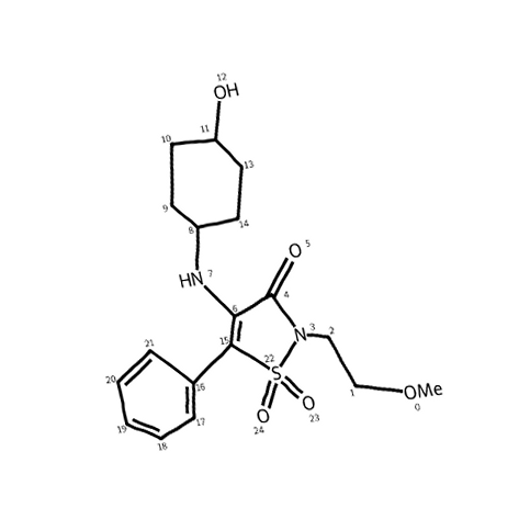 COCCN1C(=O)C(NC2CCC(O)CC2)=C(c2ccccc2)S1(=O)=O